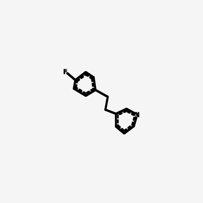 Fc1ccc(CCc2cccnc2)cc1